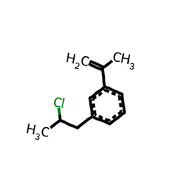 C=C(C)c1cccc(CC(C)Cl)c1